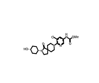 COC(=O)Nc1cnc(N2CCC3(CC2)CCN([C@H]2CC[C@@H](O)CC2)C3=O)c(Cl)c1